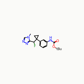 Cn1cnnc1C(F)C1(c2cccc(NC(=O)OC(C)(C)C)c2)CC1